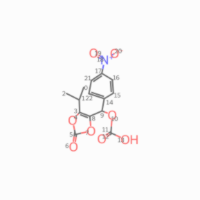 CC(C)c1oc(=O)oc1C(OC(=O)O)c1ccc([N+](=O)[O-])cc1